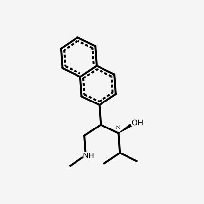 CNCC(c1ccc2ccccc2c1)[C@@H](O)C(C)C